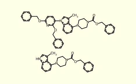 Cc1c[nH]c2cccc(N3CCN(C(=O)OCc4ccccc4)CC3)c12.Cc1cn(-c2ccc(OCc3ccccc3)nc2OCc2ccccc2)c2cccc(N3CCN(C(=O)OCc4ccccc4)CC3)c12